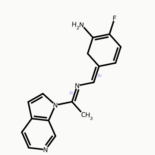 C/C(=N\C=C1\C=CC(F)=C(N)C1)n1ccc2ccncc21